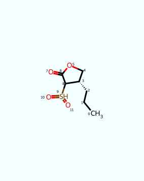 CCC[C@H]1COC(=O)C1[SH](=O)=O